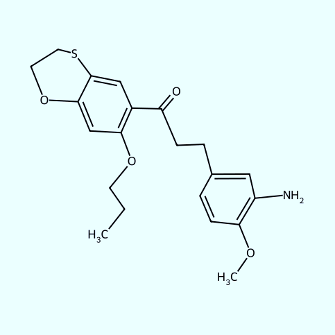 CCCOc1cc2c(cc1C(=O)CCc1ccc(OC)c(N)c1)SCCO2